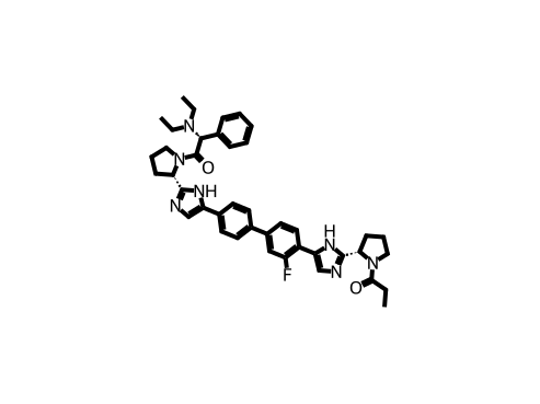 CCC(=O)N1CCC[C@H]1c1ncc(-c2ccc(-c3ccc(-c4cnc([C@@H]5CCCN5C(=O)[C@@H](c5ccccc5)N(CC)CC)[nH]4)cc3)cc2F)[nH]1